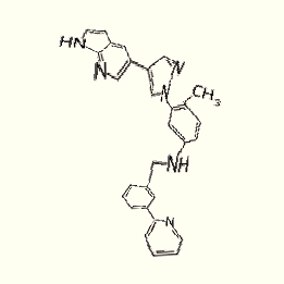 Cc1ccc(NCc2cccc(-c3ccccn3)c2)cc1-n1cc(-c2cnc3[nH]ccc3c2)cn1